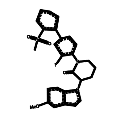 COc1ccc2c(ccn2C2CCCN(c3ccc(-c4ccccc4S(C)(=O)=O)cc3F)C2=O)c1